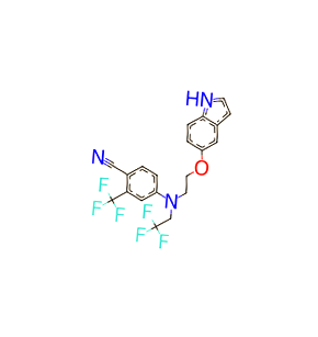 N#Cc1ccc(N(CCOc2ccc3[nH]ccc3c2)CC(F)(F)F)cc1C(F)(F)F